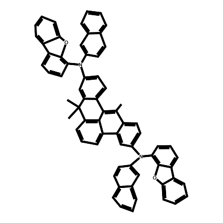 Cc1c2c3c(cccc3c3cc(N(c4ccc5ccccc5c4)c4cccc5c4oc4ccccc45)ccc13)C(C)(C)c1cc(N(c3ccc4ccccc4c3)c3cccc4c3oc3ccccc34)ccc1-2